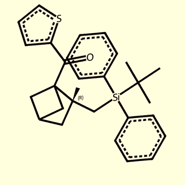 CC(C)(C)[Si](C[C@]1(C)CC2CC1(C(=O)c1cccs1)C2)(c1ccccc1)c1ccccc1